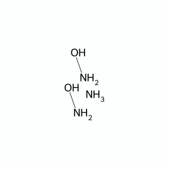 N.NO.NO